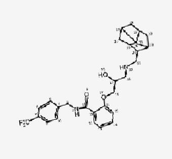 O=C(NCc1ccc(C(F)(F)F)cc1)c1ccccc1OCC(O)CNCC1C2CC3CC(C2)CC1C3